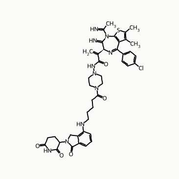 C=C(C(=O)NN1CCN(C(=O)CCCCNc2cccc3c2CN(C2CCC(=O)NC2=O)C3=O)CC1)[C@@H]1N=C(c2ccc(Cl)cc2)c2c(sc(C)c2C)N(C(C)=N)C1=N